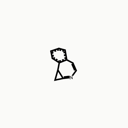 C1=Cc2ccccc2C2CC2=N1